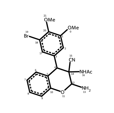 COc1cc(C2c3ccccc3OC(N)C2(C#N)NC(C)=O)cc(Br)c1OC